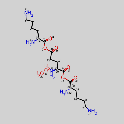 NCCCC[C@H](N)C(=O)OC(=O)CC[C@H](N)C(=O)OC(=O)[C@@H](N)CCCCN.O.O